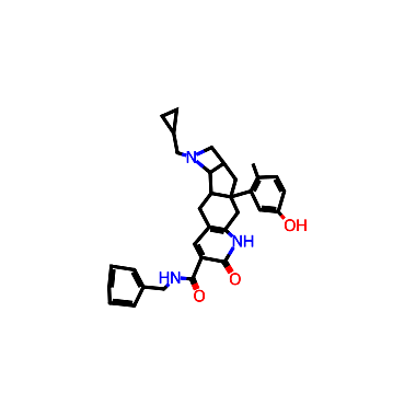 Cc1ccc(O)cc1C12Cc3[nH]c(=O)c(C(=O)NCc4ccccc4)cc3CC1C1C(CN1CC1CC1)C2